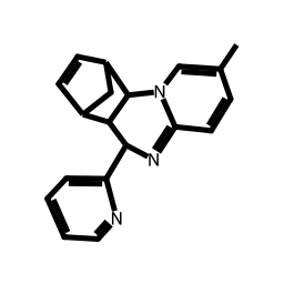 CC1=CN2C(=NC(c3ccccn3)C3C4C=CC(C4)C32)C=C1